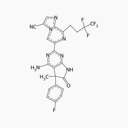 CC1(c2ccc(F)cc2)C(=O)Nc2nc(-c3cn4c(C#N)cnc4c(CCC(F)(F)C(F)(F)F)n3)nc(N)c21